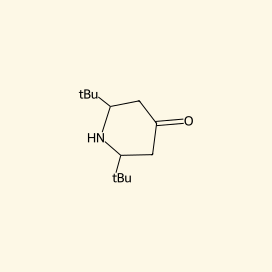 CC(C)(C)C1CC(=O)CC(C(C)(C)C)N1